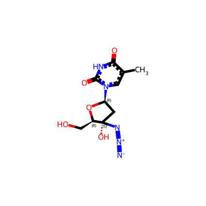 Cc1cn([C@H]2C[C@@](O)(N=[N+]=[N-])[C@@H](CO)O2)c(=O)[nH]c1=O